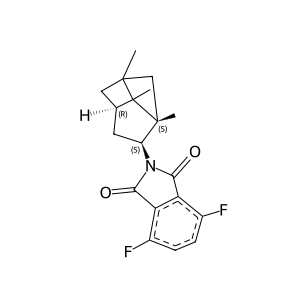 CC12C[C@@H]3C[C@H](N4C(=O)c5c(F)ccc(F)c5C4=O)[C@@](C)(C1)C32C